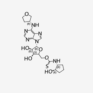 O[C@@H]1[C@H](O)C(COC(=S)N[C@@H]2CCC[C@H]2O)O[C@H]1n1cnc2c(N[C@@H]3CCOC3)ncnc21